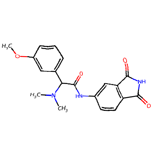 COc1cccc(C(C(=O)Nc2ccc3c(c2)C(=O)NC3=O)N(C)C)c1